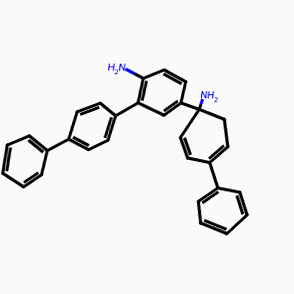 Nc1ccc(C2(N)C=CC(c3ccccc3)=CC2)cc1-c1ccc(-c2ccccc2)cc1